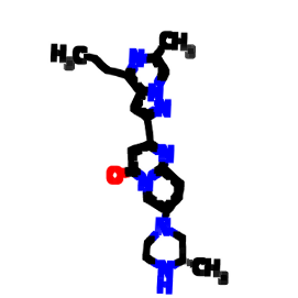 CCCc1nc(C)cn2nc(-c3cc(=O)n4cc(N5CCN[C@@H](C)C5)ccc4n3)cc12